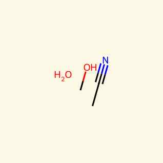 CC#N.CO.O